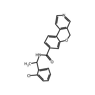 CC(NC(=O)c1ccc2c(c1)OCc1cnccc1-2)c1ccccc1Cl